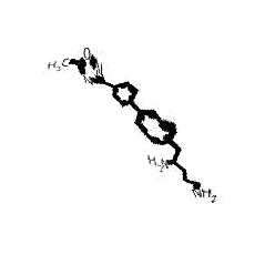 Cc1nc(-c2ccc(-c3ccc(CC(N)CCCN)cc3)cc2)no1